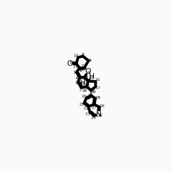 C[C@]12C=CC3=CC4=C(CCCC4=O)O[C@H]3[C@@H]1CC[C@@H]2c1ccc2ccncc2c1